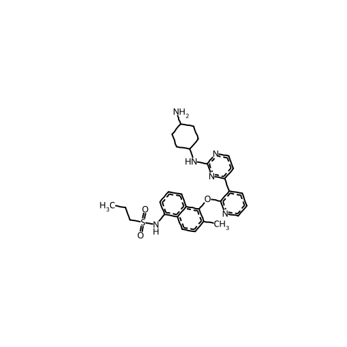 CCCS(=O)(=O)Nc1cccc2c(Oc3ncccc3-c3ccnc(NC4CCC(N)CC4)n3)c(C)ccc12